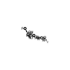 C[C@@H]1OCC2(CCN(c3cnc(Sc4cccc(NC(=O)C5=C(O)C(C#Cc6cccc(F)c6)=CN(C)C5=C=O)c4Cl)cn3)CC2)[C@@H]1N